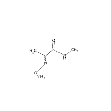 CNC(=O)C(C)=NOC